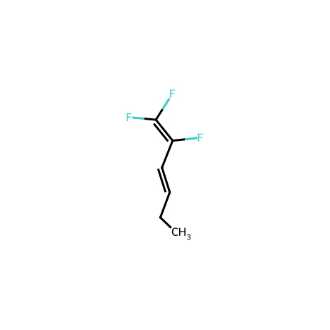 CCC=CC(F)=C(F)F